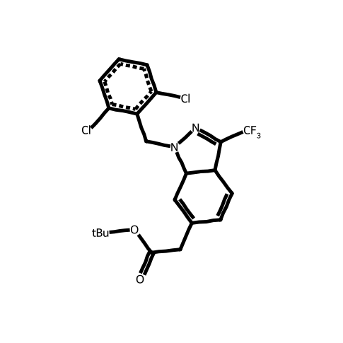 CC(C)(C)OC(=O)CC1=CC2C(C=C1)C(C(F)(F)F)=NN2Cc1c(Cl)cccc1Cl